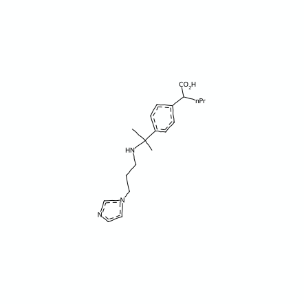 CCCC(C(=O)O)c1ccc(C(C)(C)NCCCn2ccnc2)cc1